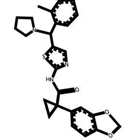 Cc1ccccc1C(c1cnc(NC(=O)C2(c3ccc4c(c3)OCO4)CC2)s1)N1CCCC1